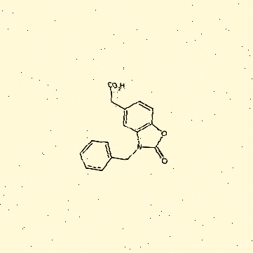 O=C(O)Cc1ccc2oc(=O)n(Cc3ccccc3)c2c1